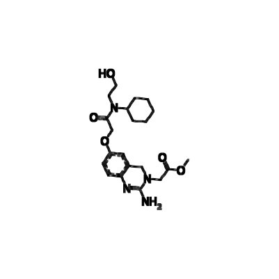 COC(=O)CN1Cc2cc(OCC(=O)N(CCO)C3CCCCC3)ccc2N=C1N